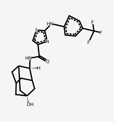 O=C(N[C@H]1C2CC3CC1C[C@](O)(C3)C2)c1csc(Nc2ccc(C(F)(F)F)cc2)n1